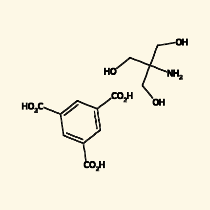 NC(CO)(CO)CO.O=C(O)c1cc(C(=O)O)cc(C(=O)O)c1